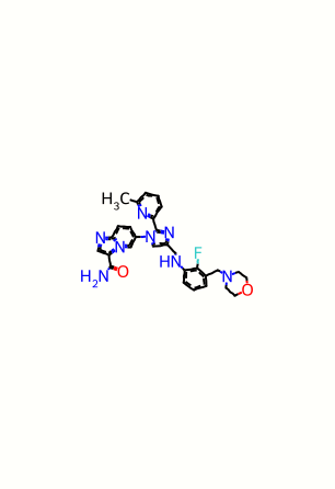 Cc1cccc(-c2nc(CNc3cccc(CN4CCOCC4)c3F)cn2-c2ccc3ncc(C(N)=O)n3c2)n1